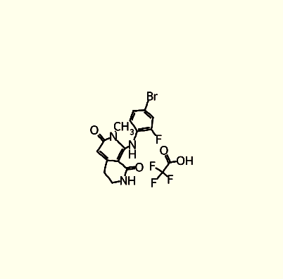 Cn1c(Nc2ccc(Br)cc2F)c2c(cc1=O)CCNC2=O.O=C(O)C(F)(F)F